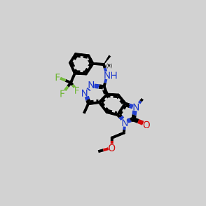 COCCn1c(=O)n(C)c2cc3c(N[C@H](C)c4cccc(C(F)(F)F)c4)nnc(C)c3cc21